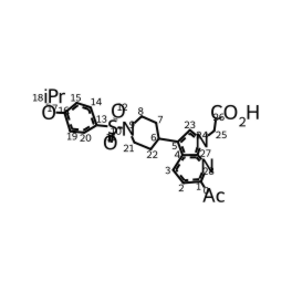 CC(=O)c1ccc2c(C3CCN(S(=O)(=O)c4ccc(OC(C)C)cc4)CC3)cn(CC(=O)O)c2n1